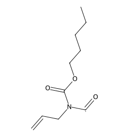 C=CCN([C]=O)C(=O)OCCCCC